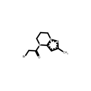 Cc1cc2n(n1)CCCN2C(=O)CBr